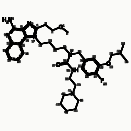 COCCc1nc2c(N)nc3ccccc3c2n1CCCCN(Cc1ccc(F)c(OCC(C)C)c1)C(=O)NCCN1CCCCC1